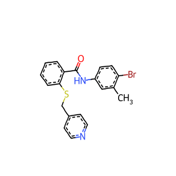 Cc1cc(NC(=O)c2ccccc2SCc2ccncc2)ccc1Br